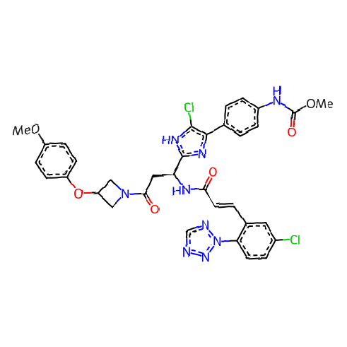 COC(=O)Nc1ccc(-c2nc([C@H](CC(=O)N3CC(Oc4ccc(OC)cc4)C3)NC(=O)/C=C/c3cc(Cl)ccc3-n3ncnn3)[nH]c2Cl)cc1